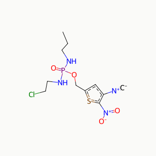 [C-]#[N+]c1cc(COP(=O)(NCCC)NCCCl)sc1[N+](=O)[O-]